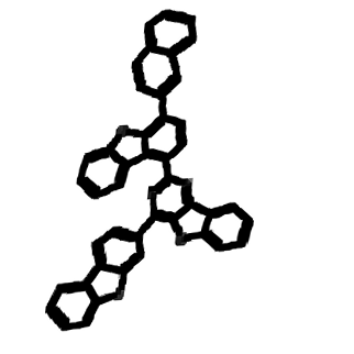 c1ccc2cc(-c3ccc(-c4nc(-c5ccc6c(c5)sc5ccccc56)c5oc6ccccc6c5n4)c4c3oc3ccccc34)ccc2c1